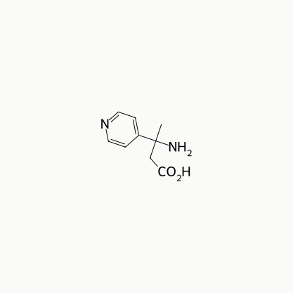 CC(N)(CC(=O)O)c1ccncc1